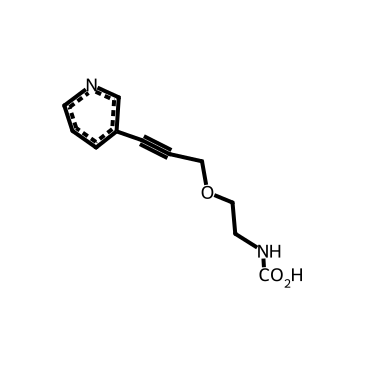 O=C(O)NCCOCC#Cc1cccnc1